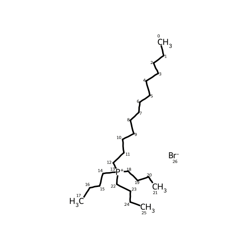 CCCCCCCCCCCCC[P+](CCCC)(CCCC)CCCC.[Br-]